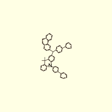 CC1(C)c2ccccc2N(c2ccc(-c3ccccc3)cc2)c2ccc(C(c3ccc(-c4ccccc4)cc3)c3ccc4ccc5ccccc5c4c3)cc21